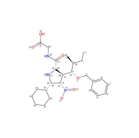 CC[C@H](C)[C@H](OCc1ccccc1)[C@H]1[C@H]([N+](=O)[O-])[C@H](C2CCCCC2)N[C@@H]1C(=O)NCC(=O)O